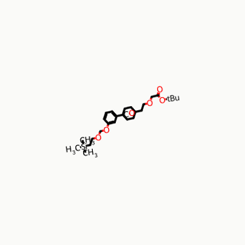 CC(C)(C)OC(=O)COCCC12CCC(c3cccc(OCOCC[Si](C)(C)C)c3)(CC1)CO2